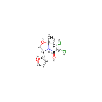 CC1(C)OCC(c2ccco2)N1C(=O)C(Cl)Cl